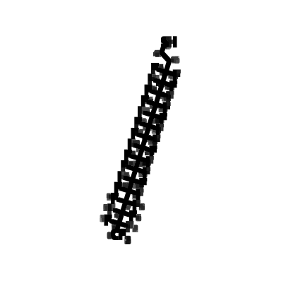 FC(F)(F)C(F)(F)C(F)(F)C(F)(F)C(F)(F)C(F)(F)C(F)(F)C(F)(F)C(F)(F)C(F)(F)C(F)(F)C(F)(F)C(F)(F)C(F)(F)C(F)(F)C(F)(F)CCS